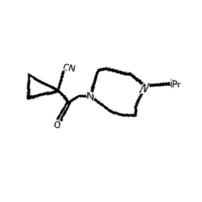 CC(C)N1CCN(C(=O)C2(C#N)CC2)CC1